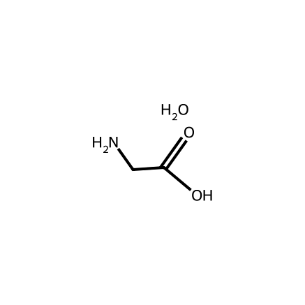 NCC(=O)O.O